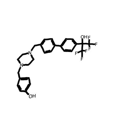 Oc1ccc(CN2CCN(Cc3ccc(-c4ccc(C(O)(C(F)(F)F)C(F)(F)F)cc4)cc3)CC2)cc1